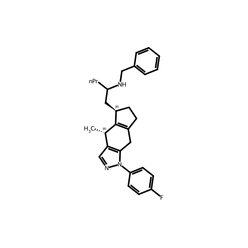 CCCC(C[C@H]1CCC2=C1[C@@H](C)c1cnn(-c3ccc(F)cc3)c1C2)NCc1ccccc1